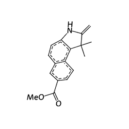 C=C1Nc2ccc3cc(C(=O)OC)ccc3c2C1(C)C